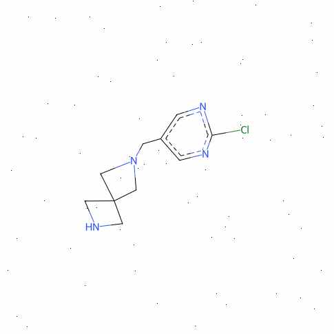 Clc1ncc(CN2CC3(CNC3)C2)cn1